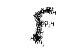 CCOP(=O)(CO)OCc1ccc(OC(=O)c2ccccc2OC(=O)CC[C@H](NC(=O)c2ccc(NCc3cnc4[nH]c(N)nc(=O)c4n3)cc2)C(=O)O)cc1